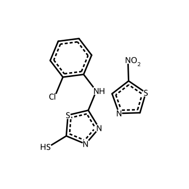 O=[N+]([O-])c1cncs1.Sc1nnc(Nc2ccccc2Cl)s1